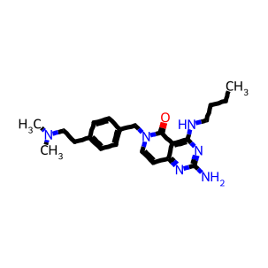 CCCCNc1nc(N)nc2ccn(Cc3ccc(CCN(C)C)cc3)c(=O)c12